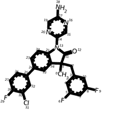 CC1(Cc2cc(F)cc(F)c2)C(=O)N(c2cnc(N)cn2)c2ccc(-c3ccc(F)c(Cl)c3)cc21